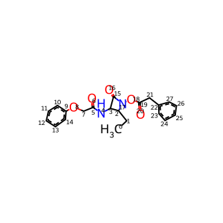 CCC1C(NC(=O)COc2ccccc2)C(=O)N1OC(=O)Cc1ccccc1